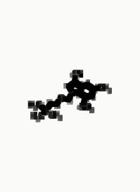 Cc1cc([N+](=O)[O-])c2c(c1)c(C#N)cn2COCC[Si](C)(C)C